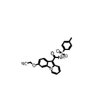 Cc1ccc(S(=O)(=O)NC(=O)c2c3ccc(OCC#N)cc3n3ccccc23)cc1